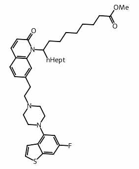 CCCCCCCC(CCCCCCCC(=O)OC)n1c(=O)ccc2ccc(CCN3CCN(c4cc(F)cc5sccc45)CC3)cc21